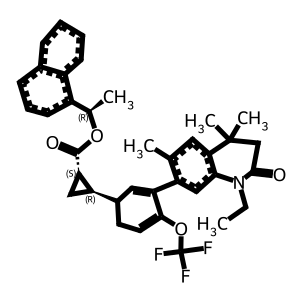 CCN1C(=O)CC(C)(C)c2cc(C)c(C3=CC([C@H]4C[C@@H]4C(=O)O[C@H](C)c4cccc5ccccc45)CC=C3OC(F)(F)F)cc21